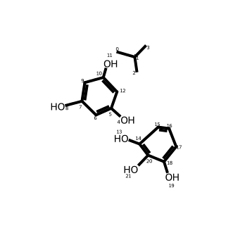 C[C](C)C.Oc1cc(O)cc(O)c1.Oc1cccc(O)c1O